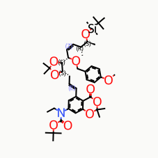 CCN(C(=O)OC(C)(C)C)c1cc(/C=C/C[C@@H]2OC(C)(C)O[C@@H]2C(/C=C\[C@@H](C)[C@H](C)O[Si](C)(C)C(C)(C)C)OCc2ccc(OC)cc2)c2c(c1)OC(C)(C)OC2=O